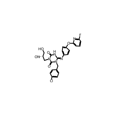 O=N[C@H](CO)Cn1c(=O)[nH]/c(=N\c2ccc(Oc3cccc(F)n3)cc2)n(Cc2ccc(Cl)cc2)c1=O